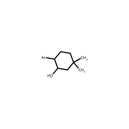 CC(=O)C1CCC(C)(C)CC1O